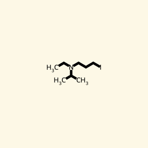 CCN(CCCI)C(C)C